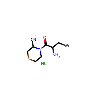 CC(C)CC(N)C(=O)N1CCSCC1C#N.Cl